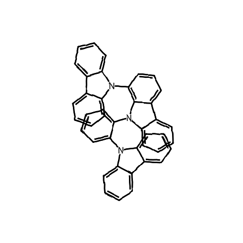 c1ccc(-n2c3ccccc3c3cccc(-n4c5ccccc5c5ccccc54)c32)c(-n2c3ccccc3c3ccccc32)c1